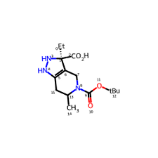 CC[C@@]1(C(=O)O)NNC2=C1CN(C(=O)OC(C)(C)C)C(C)C2